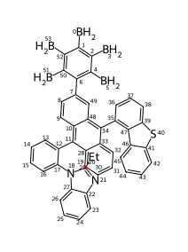 Bc1c(B)c(B)c(-c2ccc3c(-c4ccccc4-n4c(CC)nc5ccccc54)c4ccccc4c(-c4cccc5sc6ccccc6c45)c3c2)c(B)c1B